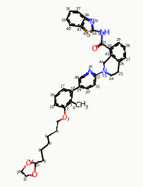 Cc1c(OCCCCCCC2OCCO2)cccc1-c1ccc(N2CCc3cccc(C(=O)Nc4nc5ccccc5s4)c3C2)nc1